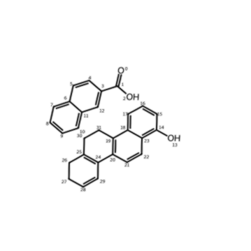 O=C(O)c1ccc2ccccc2c1.Oc1cccc2c3c(ccc12)C1=C(CCC=C1)CC3